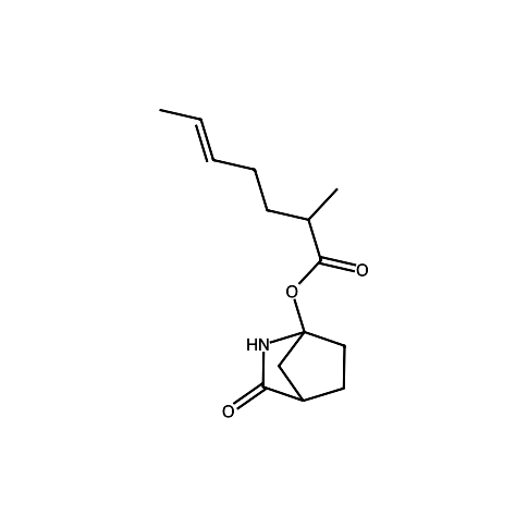 CC=CCCC(C)C(=O)OC12CCC(C1)C(=O)N2